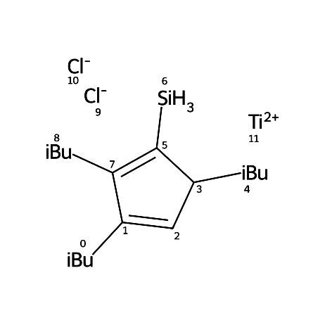 CCC(C)C1=CC(C(C)CC)C([SiH3])=C1C(C)CC.[Cl-].[Cl-].[Ti+2]